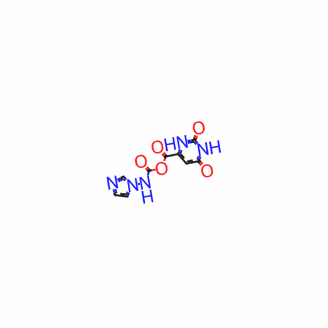 O=C(Nn1ccnc1)OC(=O)c1cc(=O)[nH]c(=O)[nH]1